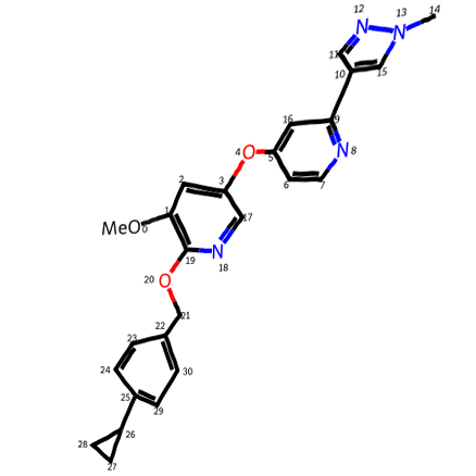 COc1cc(Oc2ccnc(-c3cnn(C)c3)c2)cnc1OCc1ccc(C2CC2)cc1